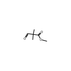 COC(=O)C(C)(C)[C]=O